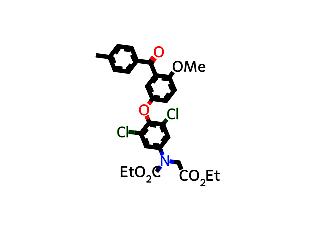 CCOC(=O)CN(C(=O)OCC)c1cc(Cl)c(Oc2ccc(OC)c(C(=O)c3ccc(C)cc3)c2)c(Cl)c1